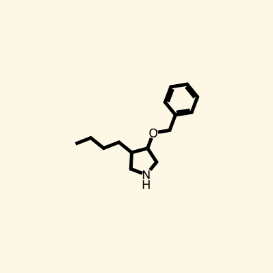 CCCCC1CNCC1OCc1ccccc1